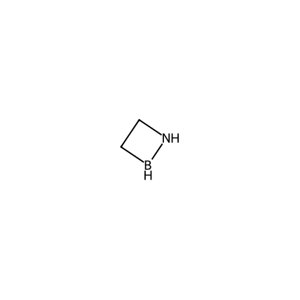 B1CCN1